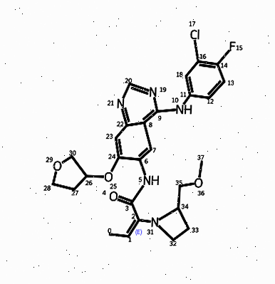 C/C=C(\C(=O)Nc1cc2c(Nc3ccc(F)c(Cl)c3)ncnc2cc1OC1CCOC1)N1CCC1COC